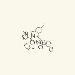 Cc1cccc(-c2sc(C)nc2C(=O)N2CC3CC(C)CC3C2CNC(=O)c2cccc(Cl)c2)c1